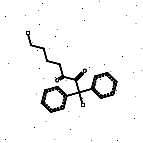 O=C(CCCCCl)C(=O)C(Cl)(c1ccccc1)c1ccccc1